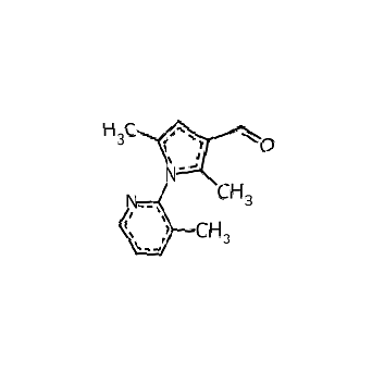 Cc1cccnc1-n1c(C)cc(C=O)c1C